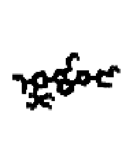 CCCc1cn(-c2ccc(C(N)=O)c(NC(C)(C)C)c2)c2cccc(-n3cnc(/C(C=N)=C/NC)c3)c12